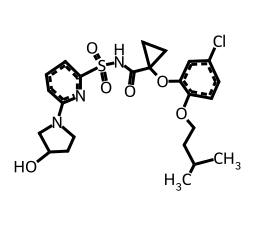 CC(C)CCOc1ccc(Cl)cc1OC1(C(=O)NS(=O)(=O)c2cccc(N3CCC(O)C3)n2)CC1